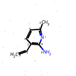 C=Cc1ccc(C)nc1N